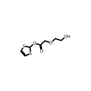 O=C(COCCO)OC1SC=CS1